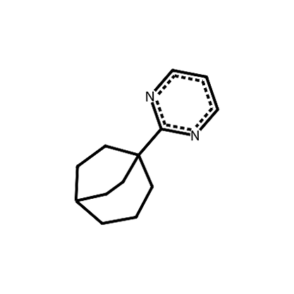 c1cnc(C23CCCC(CC2)CC3)nc1